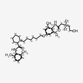 CC[N+](CC)(CCO)CC(=O)Nc1c(C)cc(OCCCCCCN2CCCCC2C(=O)Nc2c(C)cccc2C)cc1C